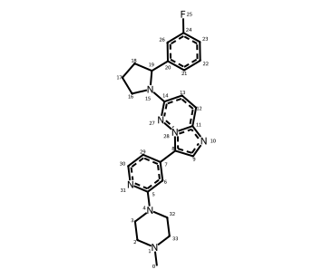 CN1CCN(c2cc(-c3cnc4ccc(N5CCCC5c5cccc(F)c5)nn34)ccn2)CC1